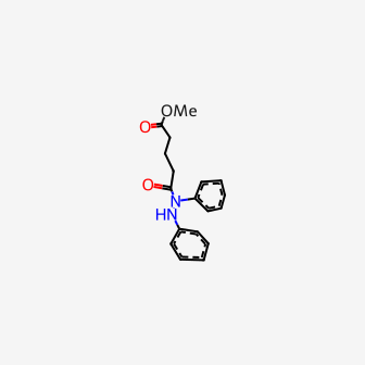 COC(=O)CCCC(=O)N(Nc1ccccc1)c1ccccc1